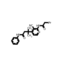 CC(C)CC(=O)Nc1nccc(C(C)(C)CC(=O)Nc2ccccc2)c1C#N